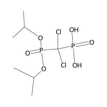 CC(C)OP(=O)(OC(C)C)C(Cl)(Cl)P(=O)(O)O